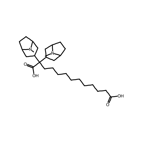 CN1C2CCC1CC(C(CCCCCCCCCCC(=O)O)(C(=O)O)C1CC3CCC(C1)N3C)C2